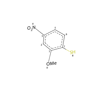 COc1cc([N+](=O)[O-])ccc1S